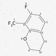 Fc1ccc2c(c1C(F)(F)F)OCCC2